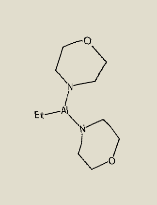 C[CH2][Al]([N]1CCOCC1)[N]1CCOCC1